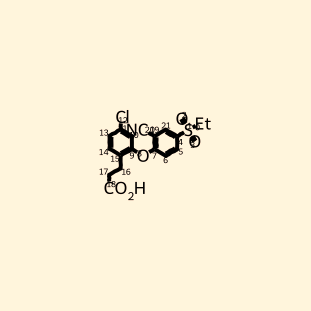 CCS(=O)(=O)c1ccc(Oc2cc(Cl)ccc2CCC(=O)O)c(C#N)c1